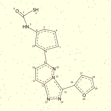 O=C(S)Nc1cccc(-c2ccc3nnc(-c4ccco4)n3n2)c1